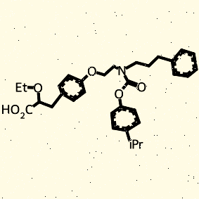 CCOC(Cc1ccc(OCCN(CCCc2ccccc2)C(=O)Oc2ccc(C(C)C)cc2)cc1)C(=O)O